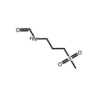 CS(=O)(=O)CCCN[C]=O